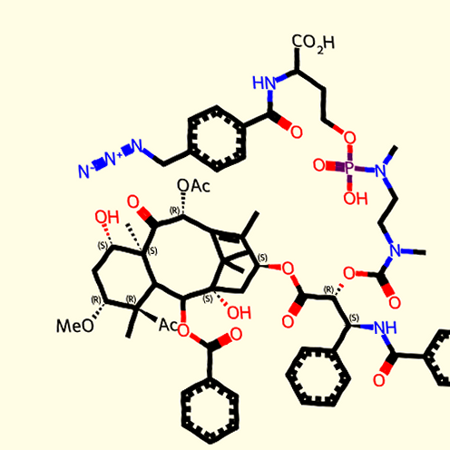 CO[C@@H]1C[C@H](O)[C@@]2(C)C(=O)[C@H](OC(C)=O)C3=C(C)[C@@H](OC(=O)[C@H](OC(=O)N(C)CCN(C)P(=O)(O)OCCC(NC(=O)c4ccc(CN=[N+]=[N-])cc4)C(=O)O)[C@@H](NC(=O)c4ccccc4)c4ccccc4)C[C@@](O)(C(OC(=O)c4ccccc4)C2[C@@]1(C)C(C)=O)C3(C)C